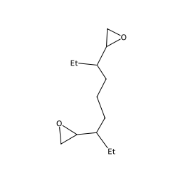 CCC(CCCC(CC)C1CO1)C1CO1